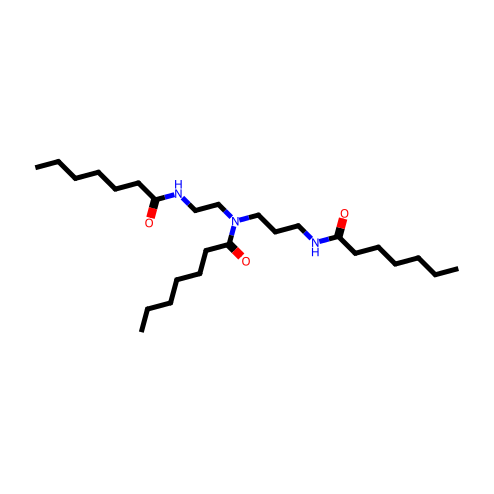 CCCCCCC(=O)NCCCN(CCNC(=O)CCCCCC)C(=O)CCCCCC